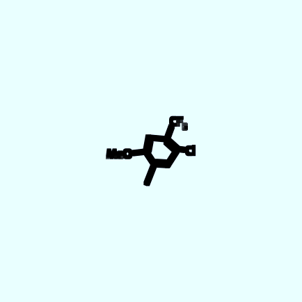 COc1cc(C(F)(F)F)c(Cl)cc1C